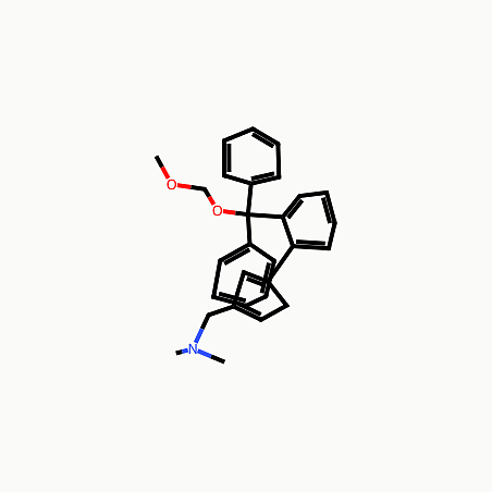 COCOC(c1ccccc1)(c1ccccc1)c1ccccc1C1=CC(CN(C)C)=CC1